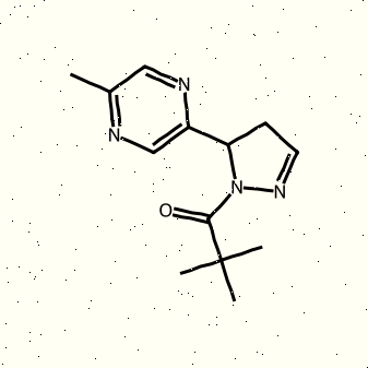 Cc1cnc(C2CC=NN2C(=O)C(C)(C)C)cn1